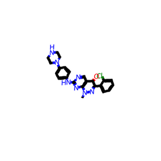 Cn1nc(-c2ccccc2Cl)c(=O)c2cnc(Nc3ccc(N4CCNCC4)cc3)nc21